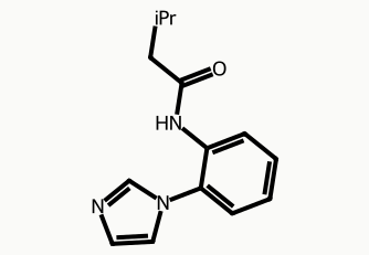 CC(C)CC(=O)Nc1ccccc1-n1ccnc1